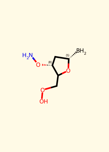 B[C@H]1C[C@@H](ON)C(COO)O1